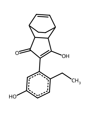 CCc1ccc(O)cc1C1=C(O)C2C3C=CC(CC3)C2C1=O